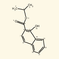 CC(C)OC(=O)c1ccc2ccccc2c1O